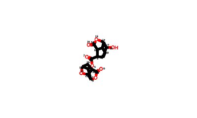 O=C1OC2C(OC(=O)C3C4CC5C(OC(=O)C53)C4O)C3CC1C2O3